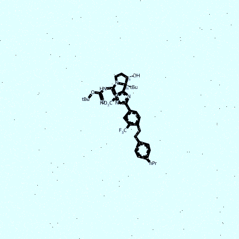 CCCc1ccc(CCc2ccc(-c3noc([C@]4(C(C)(C)C)[C@@H](O)CCN4C(=NC(=O)O)NC(=O)OC(C)(C)C)n3)cc2C(F)(F)F)cc1